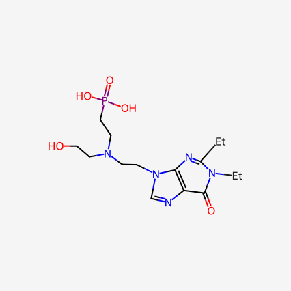 CCc1nc2c(ncn2CCN(CCO)CCP(=O)(O)O)c(=O)n1CC